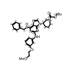 COCCOc1cccc(Nc2nc(NCc3ccccc3)c3ncn([C@H]4CCCN(C(=O)OC(C)(C)C)C4)c3n2)c1